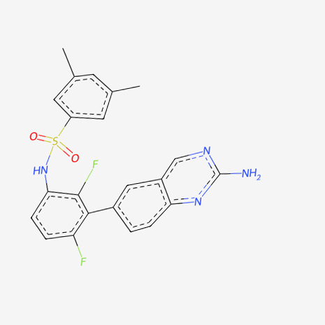 Cc1cc(C)cc(S(=O)(=O)Nc2ccc(F)c(-c3ccc4nc(N)ncc4c3)c2F)c1